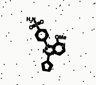 COc1nccc2c(C3=C=CC=C3)nn(-c3ccc(S(N)(=O)=O)cc3)c12